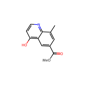 COC(=O)c1cc(C)c2nccc(O)c2c1